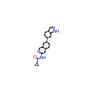 O=C(Nc1cc2ccc(-c3ccc4cn[nH]c4c3)cc2cn1)C1CC1